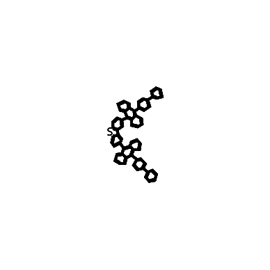 c1ccc(-c2ccc(-c3c4ccccc4c(-c4ccc5sc6ccc(-c7c8ccccc8c(-c8ccc(-c9ccccc9)cc8)c8ccccc78)cc6c5c4)c4ccccc34)cc2)cc1